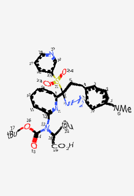 CNc1ccc(CC(N)(c2cccc(N(C(=O)OC(C)(C)C)C(C(=O)O)C(C)(C)C)n2)S(=O)(=O)c2cccnc2)cc1